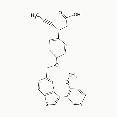 CC#CC(CC(=O)O)c1ccc(OCc2ccc3scc(-c4cnccc4OC)c3c2)cc1